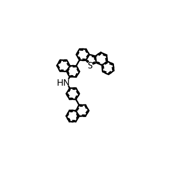 c1ccc2c(-c3ccc(Nc4ccc(-c5cccc6c5sc5c7ccccc7ccc65)c5ccccc45)cc3)cccc2c1